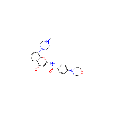 CN1CCN(c2cccc3c(=O)cc(NC(=O)c4ccc(N5CCOCC5)cc4)oc23)CC1